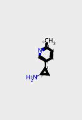 Cc1ccc([C@H]2C[C@@H]2N)cn1